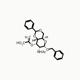 CC(=O)N[C@H]1[C@@H](OCc2ccccc2)O[C@@H]2COC(c3ccccc3)O[C@H]2[C@H]1OC(C)C(=O)O